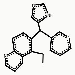 ICc1c(C(c2cccnc2)c2cnc[nH]2)ccc2ncccc12